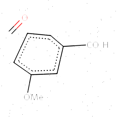 C=O.COc1cccc(C(=O)O)c1